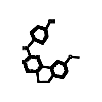 COc1ccc2c(c1)-c1nc(Nc3ccc(O)cc3)ncc1CC2